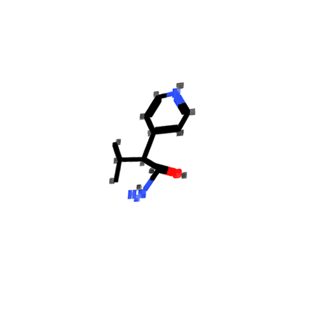 CC(C)C(C(N)=O)c1ccncc1